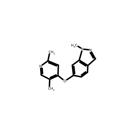 Cc1cc(Oc2ccc3cnn(C)c3c2)c(C)cn1